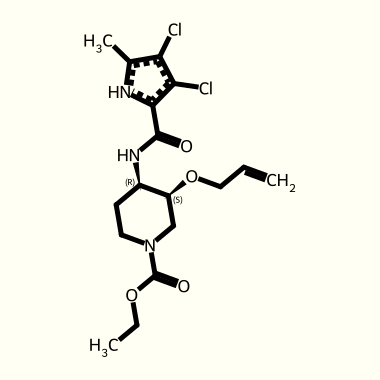 C=CCO[C@H]1CN(C(=O)OCC)CC[C@H]1NC(=O)c1[nH]c(C)c(Cl)c1Cl